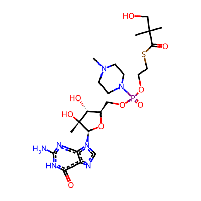 CN1CCN(P(=O)(OCCSC(=O)C(C)(C)CO)OC[C@H]2O[C@@H](n3cnc4c(=O)[nH]c(N)nc43)[C@](C)(O)[C@@H]2O)CC1